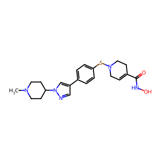 CN1CCC(n2cc(-c3ccc(SN4CC=C(C(=O)NO)CC4)cc3)cn2)CC1